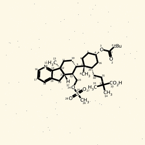 CC(C)(C)C(=O)O[C@H]1CC[C@@](C)([C@H]2CC[C@]3(C)c4ncccc4C[C@H]3[C@@H]2COS(C)(=O)=O)[C@@H](CCC(C)(C)C(=O)O)C1